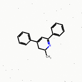 CC1CC(c2ccccc2)=CC(c2ccccc2)=N1